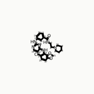 O=C(NCCN1CCCCC1)c1cccc(Nc2nccc(Nc3c(Cl)ccc4c3OCO4)n2)c1